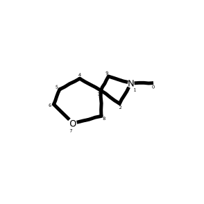 CN1CC2(CCCOC2)C1